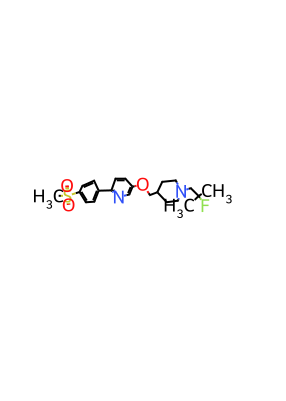 CC(C)(F)CN1CCC(COc2ccc(-c3ccc(S(C)(=O)=O)cc3)nc2)CC1